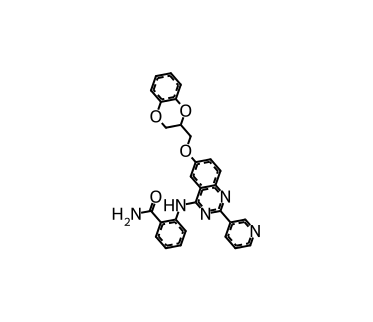 NC(=O)c1ccccc1Nc1nc(-c2cccnc2)nc2ccc(OCC3COc4ccccc4O3)cc12